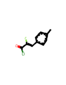 Cc1ccc(/C=C(\F)C(=O)Cl)cc1